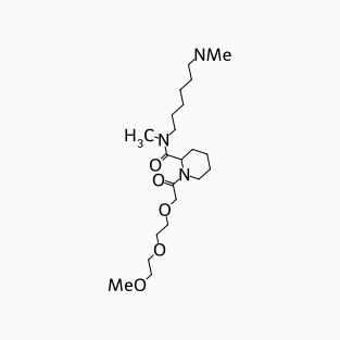 CNCCCCCCN(C)C(=O)C1CCCCN1C(=O)COCCOCCOC